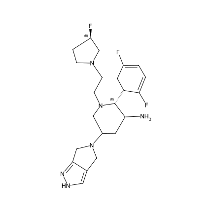 NC1CC(N2Cc3c[nH]nc3C2)CN(CCN2CC[C@@H](F)C2)[C@@H]1C1CC(F)=CC=C1F